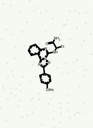 CCC(Nc1nc2ccccc2c2nc(-c3ccc(OC)cc3)nn12)C(N)=O